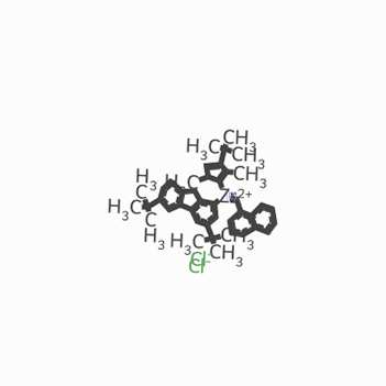 CC1=[C](/[Zr+2](=[CH]/c2cccc3ccccc23)[c]2cc(C(C)(C)C)cc3c2Cc2ccc(C(C)(C)C)cc2-3)C(C)C=C1C(C)(C)C.[Cl-].[Cl-]